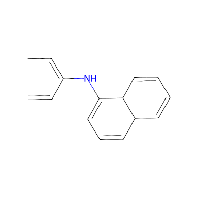 C=C/C(=C\C)NC1=CC=CC2C=CC=CC12